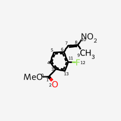 COC(=O)c1ccc(C=C(C)[N+](=O)[O-])c(F)c1